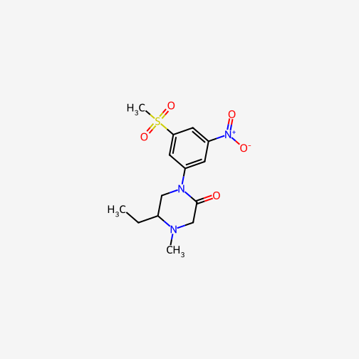 CCC1CN(c2cc([N+](=O)[O-])cc(S(C)(=O)=O)c2)C(=O)CN1C